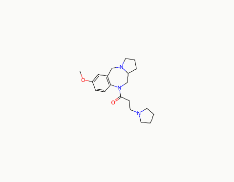 COc1ccc2c(c1)CN1CCCC1CN2C(=O)CCN1CCCC1